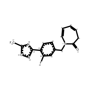 O=C1CC=CC=CN1Cc1ccc(-c2noc(C(F)(F)F)n2)c(F)c1